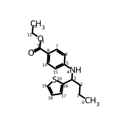 CCCC(Nc1ccc(C(=O)OCC)cc1)c1cccs1